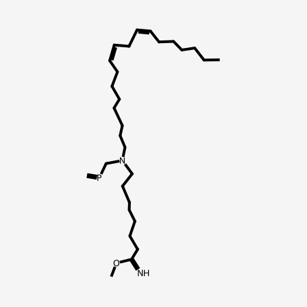 C=PCN(CCCCCCC/C=C\C/C=C\CCCCCC)CCCCCCCC(=N)OC